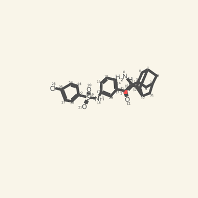 NC(=O)C12CC3CC(C1)C(NC(=O)c1cccc(NS(=O)(=O)c4ccc(Cl)cc4)c1)C(C3)C2